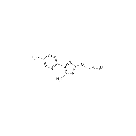 CCOC(=O)COc1nc(-c2ccc(C(F)(F)F)cn2)n(C)n1